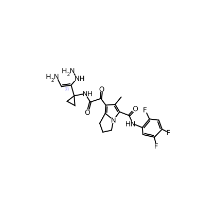 Cc1c(C(=O)C(=O)NC2(/C(=C/N)NN)CC2)c2n(c1C(=O)Nc1cc(F)c(F)cc1F)CCC2